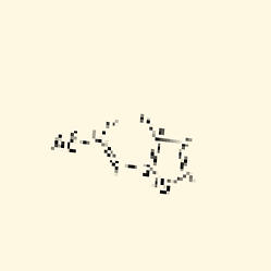 CC(=O)C(C)=Cc1sccc1C